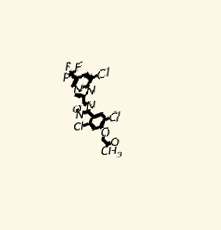 CC(=O)COc1cc(Cl)c(-c2noc(-c3cn4cc(C(F)(F)F)cc(Cl)c4n3)n2)cc1Cl